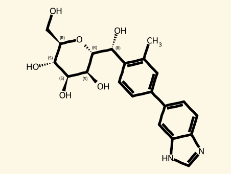 Cc1cc(-c2ccc3nc[nH]c3c2)ccc1[C@@H](O)[C@H]1O[C@H](CO)[C@@H](O)[C@H](O)[C@@H]1O